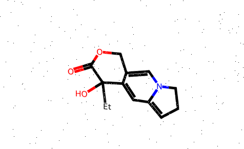 CCC1(O)C(=O)OCC2=CN3CCC=C3C=C21